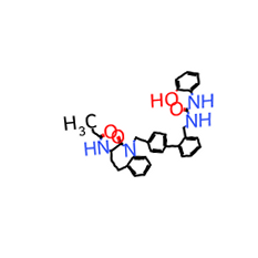 CCC(=O)N[C@@H]1CCc2ccccc2N(Cc2ccc(-c3ccccc3CNC(=O)Nc3ccccc3O)cc2)C1=O